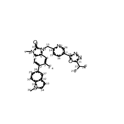 C/C=C(\C(F)=C/c1cn(C)c(=O)n1Cc1ccc(-c2nnc(C(F)F)o2)cn1)c1ccc2c(ccn2C)c1